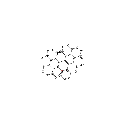 O=[N+]([O-])c1c(-c2ccccc2)c(-c2c([N+](=O)[O-])c([N+](=O)[O-])c([N+](=O)[O-])c([N+](=O)[O-])c2[N+](=O)[O-])c([N+](=O)[O-])c([N+](=O)[O-])c1[N+](=O)[O-]